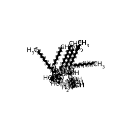 CCCCCCCCCCC[C@H](CC(=O)N[C@H]1[C@H](OC[C@H](NC(=O)C[C@@H](CCCCCCCCCCC)OCCCCCCCCCC)C(=O)O)O[C@H](CO)[C@@H](OP(=O)(O)O)[C@@H]1OC(=O)C[C@@H](CCCCCCCCCCC)OCCCCCCCCCC)OCCCCCCCCCC.NCCO.NCCO.NCCO